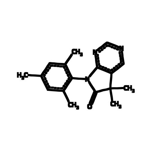 Cc1cc(C)c(N2C(=O)C(C)(C)c3cncnc32)c(C)c1